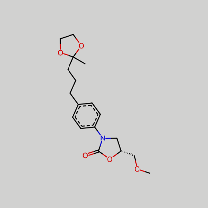 COC[C@H]1CN(c2ccc(CCCC3(C)OCCO3)cc2)C(=O)O1